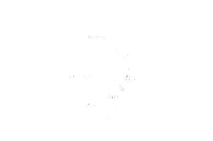 CCCCCCC#Cc1ccc2c(c1)C(=Cc1[nH]c3c(c1CCC(=O)O)C(=O)CCC3)C(=O)N2